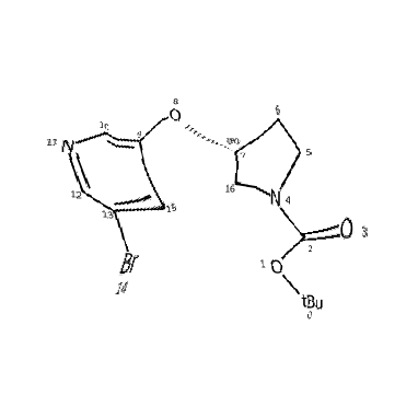 CC(C)(C)OC(=O)N1CC[C@@H](Oc2cncc(Br)c2)C1